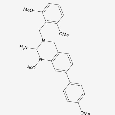 COc1ccc(-c2ccc3c(c2)N(OC(C)=O)C(N)N(Cc2c(OC)cccc2OC)C3)cc1